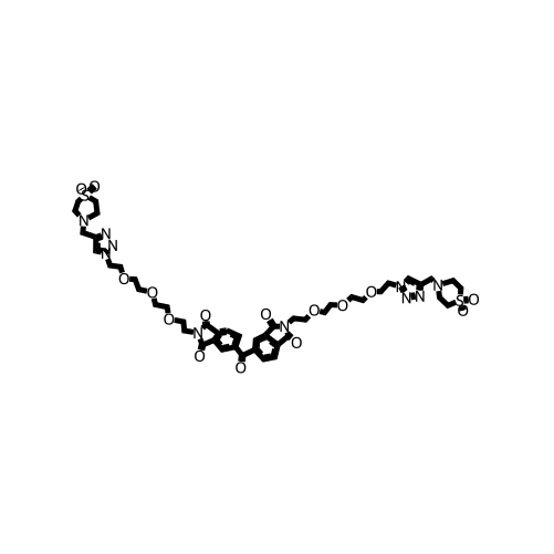 O=C(c1ccc2c(c1)C(=O)N(CCOCCOCCOCCn1cc(CN3CCS(=O)(=O)CC3)nn1)C2=O)c1ccc2c(c1)C(=O)N(CCOCCOCCOCCn1cc(CN3CCS(=O)(=O)CC3)nn1)C2=O